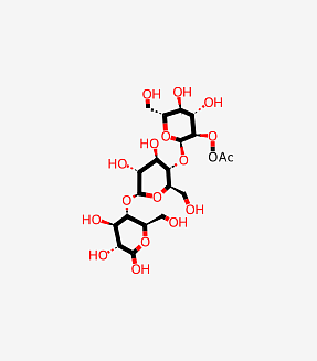 CC(=O)OO[C@H]1[C@@H](O[C@H]2[C@H](O)[C@@H](O)[C@@H](O[C@H]3[C@H](O)[C@@H](O)C(O)O[C@@H]3CO)O[C@@H]2CO)O[C@H](CO)[C@@H](O)[C@@H]1O